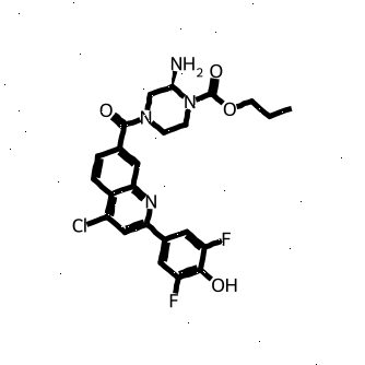 CCCOC(=O)N1CCN(C(=O)c2ccc3c(Cl)cc(-c4cc(F)c(O)c(F)c4)nc3c2)C[C@H]1N